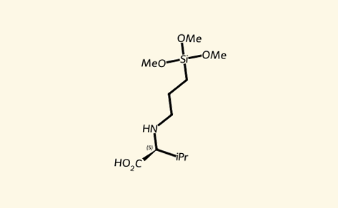 CO[Si](CCCN[C@H](C(=O)O)C(C)C)(OC)OC